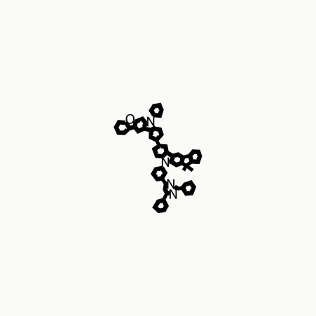 CC1(C)c2ccccc2-c2cc3c4cc(-c5ccc6c(c5)c5cc7c(cc5n6-c5ccccc5)oc5ccccc57)ccc4n(-c4cccc(-c5cc(-c6ccccc6)nc(-c6ccccc6)n5)c4)c3cc21